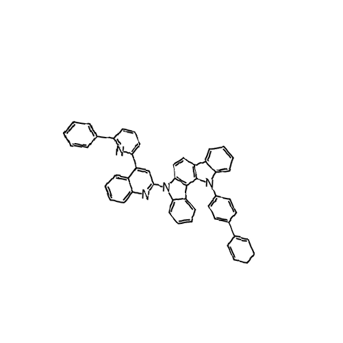 C1=CC(c2ccc(-n3c4ccccc4c4ccc5c(c6ccccc6n5-c5cc(-c6cccc(-c7ccccc7)n6)c6ccccc6n5)c43)cc2)=CCC1